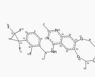 Cc1nc(NC(C)c2cccc(C3(F)CC3(F)F)c2F)c2cc3c(cc2n1)OCCOCC(C)O3